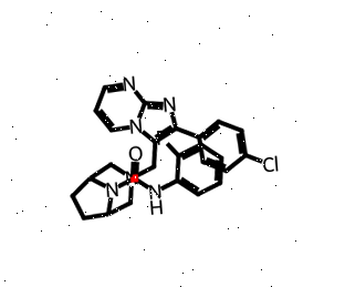 O=C(Nc1ccccc1F)N1C2CCC1CN(Cc1c(-c3ccc(Cl)cc3)nc3ncccn13)C2